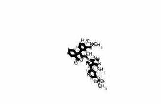 C[C@@H](c1oc(=O)c2ccccc2c1-c1cccc(CN(C)C)c1)n1nc(-c2cncc(OS(C)(=O)=O)c2)c2c(N)ncnc21